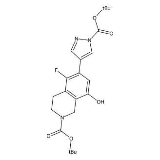 CC(C)(C)OC(=O)N1CCc2c(F)c(-c3cnn(C(=O)OC(C)(C)C)c3)cc(O)c2C1